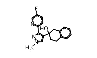 Cn1cc(C2(O)CCc3ccccc3C2)c(-c2ccc(F)cn2)n1